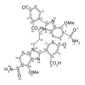 COc1c(C(N)=O)ccc2c1nc(-c1ccc(Cl)cc1C(=O)O)n2CCCn1c(-c2ccc(Cl)cc2C(=O)O)nc2c(OC)c(C(N)=O)ccc21